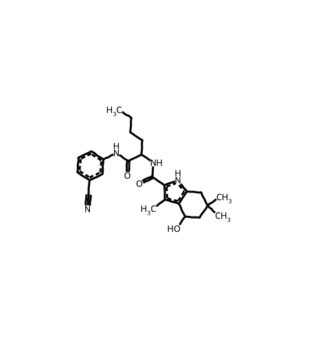 CCCCC(NC(=O)c1[nH]c2c(c1C)C(O)CC(C)(C)C2)C(=O)Nc1cccc(C#N)c1